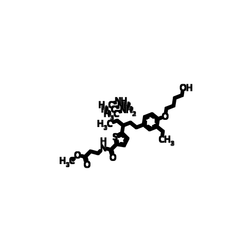 CCc1cc(CCC(CC)c2ccc(C(=O)NCCC(=O)OC)s2)ccc1OCCCCO.CN.CN.CN